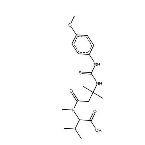 COc1ccc(NC(=S)NC(C)(C)CC(=O)N(C)C(C(=O)O)C(C)C)cc1